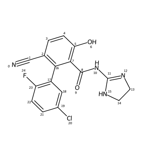 N#Cc1ccc(O)c(C(=O)NC2=NCCN2)c1-c1cc(Cl)ccc1F